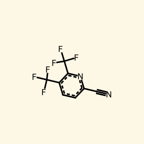 N#Cc1ccc(C(F)(F)F)c(C(F)(F)F)n1